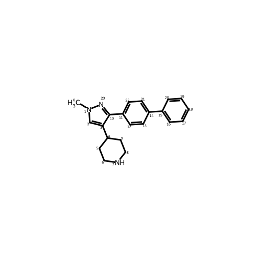 Cn1cc(C2CCNCC2)c(-c2ccc(-c3ccccc3)cc2)n1